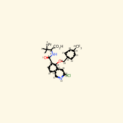 CCCC(C)(C)C(NC(=O)c1ccc2cnc(Cl)cc2c1OCc1ccc(C(F)(F)F)cc1)C(=O)O